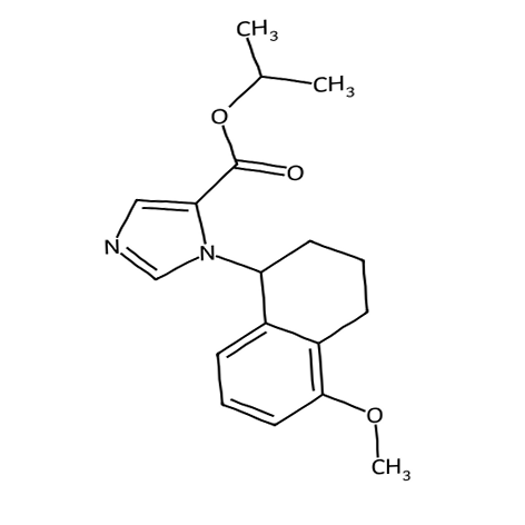 COc1cccc2c1CCCC2n1cncc1C(=O)OC(C)C